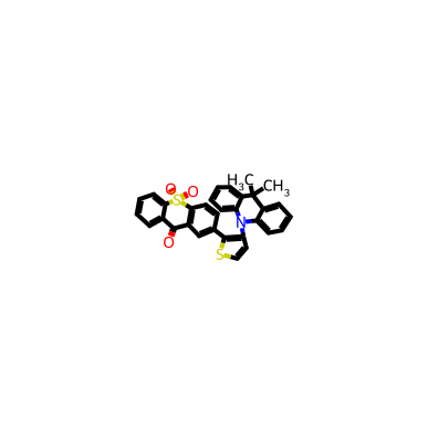 CC1(C)c2ccccc2N(c2ccsc2-c2ccc3c(c2)C(=O)c2ccccc2S3(=O)=O)c2ccccc21